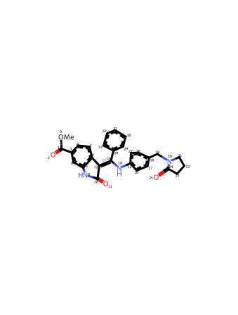 COC(=O)c1ccc2c(c1)NC(=O)/C2=C(\Nc1ccc(CN2CCCC2=O)cc1)c1ccccc1